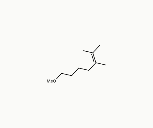 [CH2]OCCCCC(C)=C(C)C